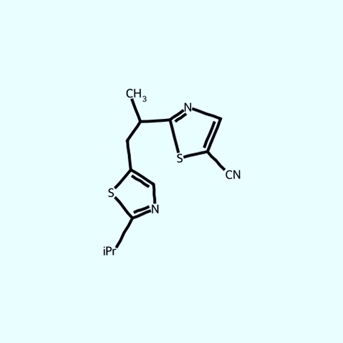 CC(C)c1ncc(CC(C)c2ncc(C#N)s2)s1